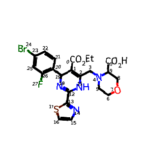 CCOC(=O)C1=C(CN2CCOCC2C(=O)O)NC(c2nccs2)=NC1c1ccc(Br)cc1F